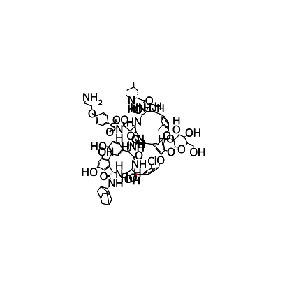 CN[C@H](CC(C)C)C(=O)N[C@H]1C(=O)N[C@@H](CC(=O)NS(=O)(=O)c2ccc(OCCN)cc2)C(=O)N[C@H]2C(=O)N[C@H]3C(=O)N[C@H](C(=O)N[C@H](C(=O)NC4C5CC6CC(C5)CC4C6)c4cc(O)cc(O)c4-c4cc3ccc4O)[C@H](O)c3ccc(c(Cl)c3)Oc3cc2cc(c3O[C@@H]2O[C@H](CO)[C@@H](O)[C@H](O)[C@H]2O)Oc2ccc(cc2C)[C@H]1O